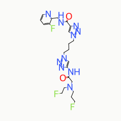 O=C(CN(CCF)CCCF)Nc1cn(CCCCn2cc(C(=O)NCc3ncccc3F)nn2)nn1